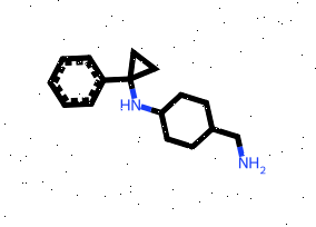 NCC1CCC(NC2(c3ccccc3)CC2)CC1